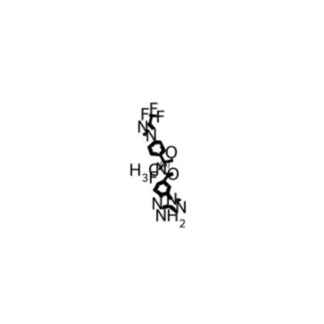 CN(C(=O)c1cc2c(cc1F)nc(N)c1cncn12)[C@@H]1COc2cc(-n3cnc(C(F)(F)F)c3)ccc21